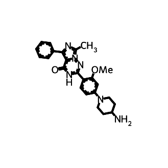 COc1cc(N2CCC(N)CC2)ccc1-c1nn2c(C)nc(-c3ccccc3)c2c(=O)[nH]1